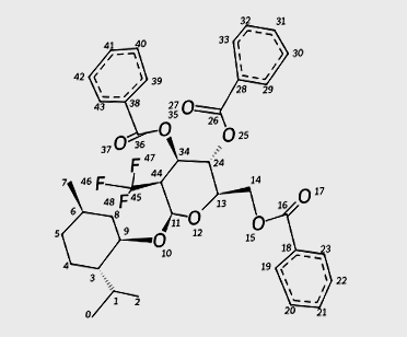 CC(C)[C@@H]1CC[C@@H](C)C[C@H]1O[C@@H]1O[C@H](COC(=O)c2ccccc2)[C@@H](OC(=O)c2ccccc2)[C@H](OC(=O)c2ccccc2)[C@@H]1C(F)(F)F